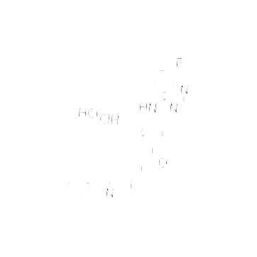 Cl.Cl.O=C(CCC1CCN(Cc2ccccc2)CC1)c1ccc(Nc2ncnc3c2CCC3F)cc1